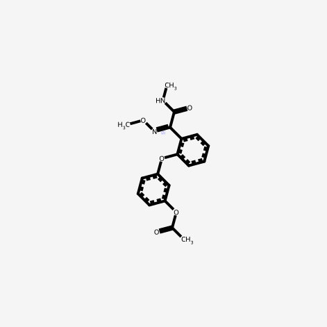 CNC(=O)/C(=N\OC)c1ccccc1Oc1cccc(OC(C)=O)c1